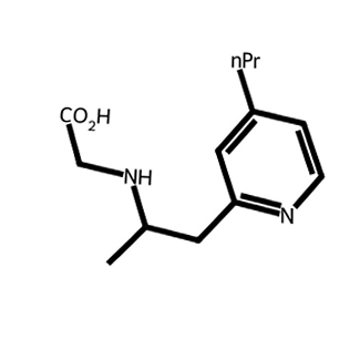 CCCc1ccnc(CC(C)NCC(=O)O)c1